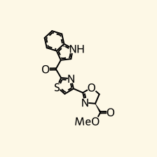 COC(=O)[C@@H]1COC(c2csc(C(=O)c3c[nH]c4ccccc34)n2)=N1